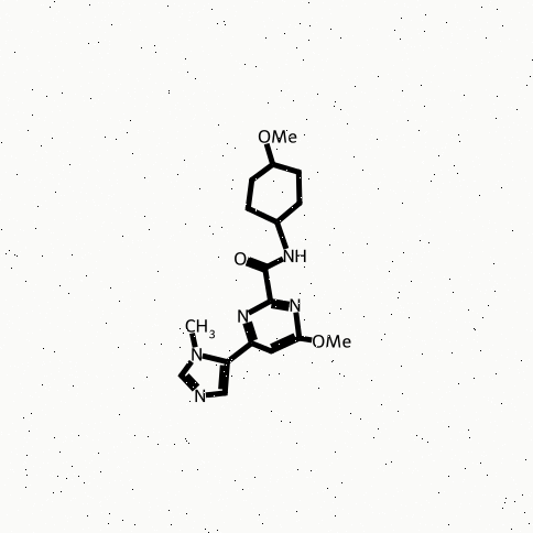 COc1cc(-c2cncn2C)nc(C(=O)NC2CCC(OC)CC2)n1